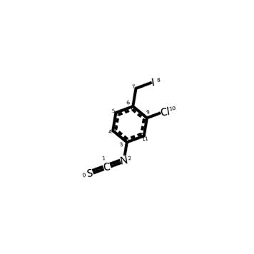 S=C=Nc1ccc(CI)c(Cl)c1